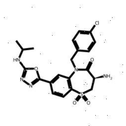 CC(C)Nc1nnc(-c2ccc3c(c2)N(Cc2ccc(Cl)cc2)C(=O)[C@@H](N)CS3(=O)=O)o1